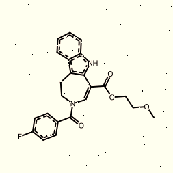 COCCOC(=O)C1=CN(C(=O)c2ccc(F)cc2)CCc2c1[nH]c1ccccc21